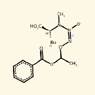 CC[C@@H](C)[C@@H](C(=O)O)N(C)/[N+]([O-])=N\OC(C)OC(=O)c1ccccc1